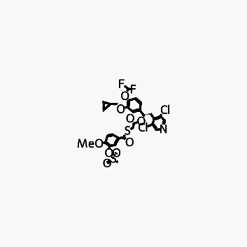 COc1ccc(C(=O)SCC(=O)O[C@@H](Cc2c(Cl)cncc2Cl)c2ccc(OC(F)F)c(OCC3CC3)c2)cc1OS(C)(=O)=O